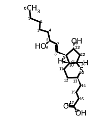 CCCCC[C@H](O)C=C[C@@H]1[C@H]2CC[C@H](CCCC(=O)O)S[C@H]2C[C@H]1O